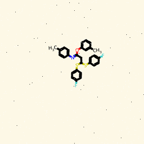 Cc1ccc(N=C(CC(Sc2ccc(F)cc2)Sc2ccc(F)cc2)Oc2cccc(C)c2)cc1